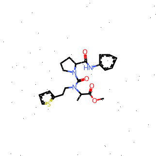 COC(=O)C(C)N(CCc1cccs1)C(=O)N1CCCC1C(=O)Nc1ccccc1